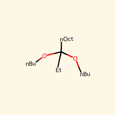 CCCCCCCCC(CC)(OCCCC)OCCCC